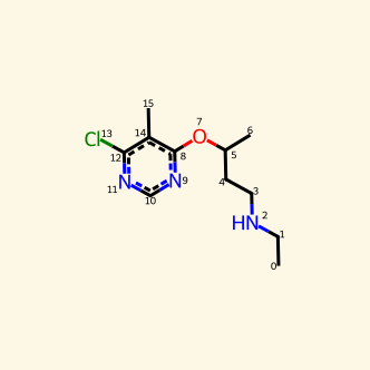 CCNCCC(C)Oc1ncnc(Cl)c1C